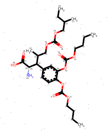 CCCCOC(=O)Oc1ccc(C(C(C)COC(=O)OCC(C)CC)[C@H](N)C(=O)O)cc1OC(=O)OCCCC